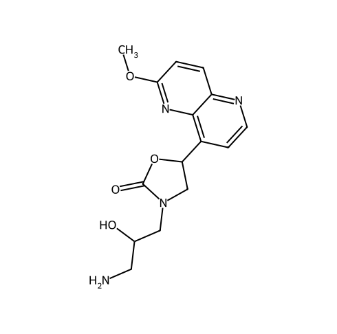 COc1ccc2nccc(C3CN(CC(O)CN)C(=O)O3)c2n1